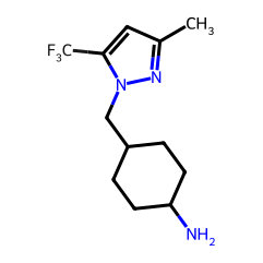 Cc1cc(C(F)(F)F)n(CC2CCC(N)CC2)n1